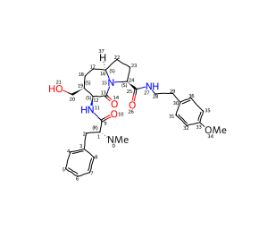 CN[C@H](Cc1ccccc1)C(=O)N[C@@H]1C(=O)N2[C@@H](CC[C@@H]1CO)CC[C@H]2C(=O)NCCc1ccc(OC)cc1